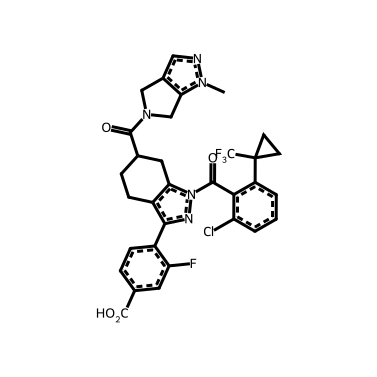 Cn1ncc2c1CN(C(=O)C1CCc3c(-c4ccc(C(=O)O)cc4F)nn(C(=O)c4c(Cl)cccc4C4(C(F)(F)F)CC4)c3C1)C2